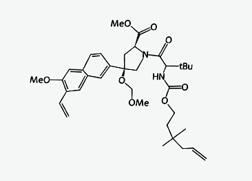 C=CCC(C)(C)CCOC(=O)NC(C(=O)N1C[C@](OCOC)(c2ccc3cc(OC)c(C=C)cc3c2)C[C@H]1C(=O)OC)C(C)(C)C